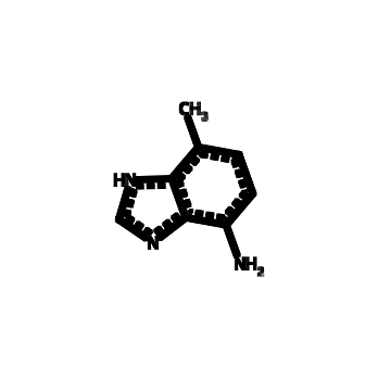 Cc1ccc(N)c2nc[nH]c12